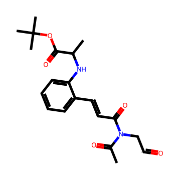 CC(=O)N(C[C]=O)C(=O)/C=C/c1ccccc1NC(C)C(=O)OC(C)(C)C